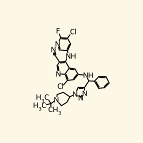 CC(C)(C)N1CCC(n2cc(C(Nc3cc(Cl)c4ncc(C#N)c(Nc5cnc(F)c(Cl)c5)c4c3)c3ccccc3)nn2)CC1